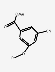 COC(=O)c1cc(C#N)cc(OC(C)C)n1